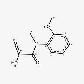 COc1ccccc1C(C)C(=O)C(=O)O